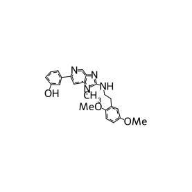 COc1ccc(OC)c(CCNc2nc3cnc(-c4cccc(O)c4)cc3n2C)c1